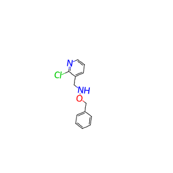 Clc1ncccc1CNOCc1ccccc1